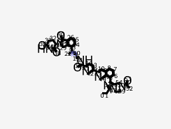 CCc1nc(-c2cccc3cc(-c4ccc(C(=O)NC/C=C(\C)c5cccc6c5CN(C5CCC(=O)NC5=O)C6=O)nc4)ncc23)c2n1CCN(C(C)=O)C2